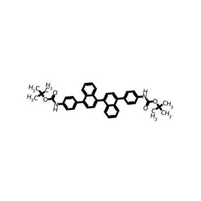 CC(C)(C)OC(=O)Nc1ccc(-c2ccc(-c3ccc(-c4ccc(NC(=O)OC(C)(C)C)cc4)c4ccccc34)c3ccccc23)cc1